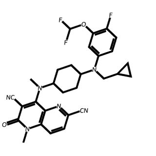 CN(c1c(C#N)c(=O)n(C)c2ccc(C#N)nc12)C1CCC(N(CC2CC2)c2ccc(F)c(OC(F)F)c2)CC1